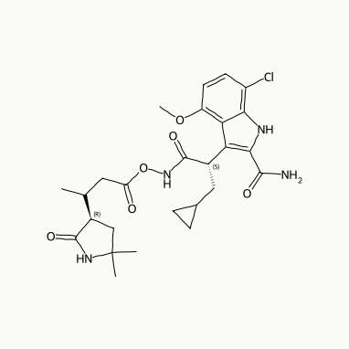 COc1ccc(Cl)c2[nH]c(C(N)=O)c([C@H](CC3CC3)C(=O)NOC(=O)CC(C)[C@H]3CC(C)(C)NC3=O)c12